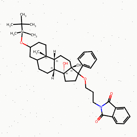 CC(C)(C)[Si](C)(C)OC1CC[C@@]2(C)C(CC[C@@H]3[C@H]2CC[C@]2(C)C(OCCCN4C(=O)c5ccccc5C4=O)(c4ccccc4)CC[C@@]32O)C1